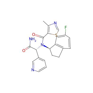 Cc1ncsc1C(=O)N([C@@H]1CCc2ccc(F)cc21)[C@@H](C(N)=O)c1cccnc1